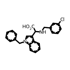 O=C(O)C(NCc1cccc(Cl)c1)c1cn(Cc2ccccc2)c2ccccc12